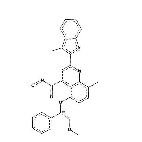 COC[C@@H](Oc1ccc(C)c2nc(-c3sc4ccccc4c3C)cc(C(=O)N=O)c12)c1ccccc1